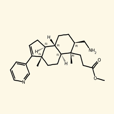 COC(=O)CC[C@@]1(C)[C@H](CN)CC[C@@H]2[C@@H]1CC[C@]1(C)C(c3cccnc3)=CC[C@@H]21